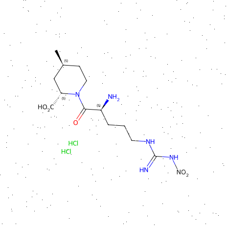 C[C@H]1CCN(C(=O)[C@@H](N)CCCNC(=N)N[N+](=O)[O-])[C@H](C(=O)O)C1.Cl.Cl